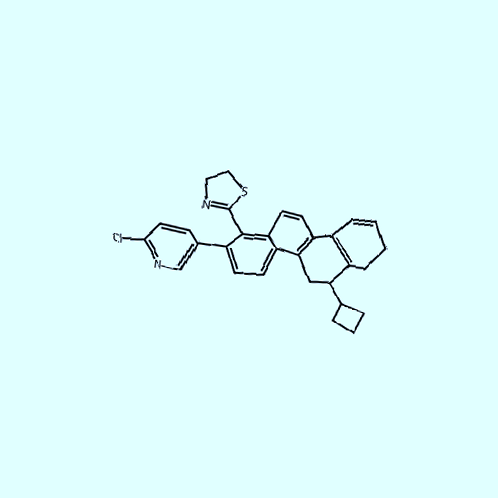 Clc1ccc(-c2ccc3c4c(ccc3c2C2=NCCS2)C2=C(CCC=C2)C(C2CCC2)C4)cn1